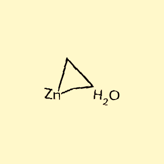 O.[CH2]1[CH2][Zn]1